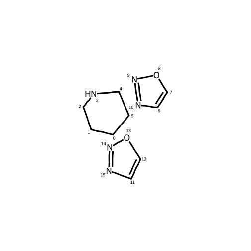 C1CCNCC1.c1conn1.c1conn1